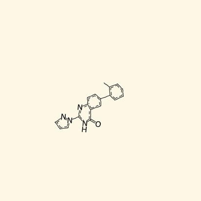 Cc1ccccc1-c1ccc2nc(-n3cccn3)[nH]c(=O)c2c1